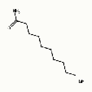 CCCCCCCCCC(N)=O.[LiH]